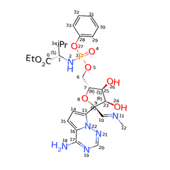 CCOC(=O)[C@@H](NP(=O)(OC[C@H]1O[C@@](C=NC)(c2ccc3c(N)ncnn23)[C@H](O)[C@@H]1O)Oc1ccccc1)C(C)C